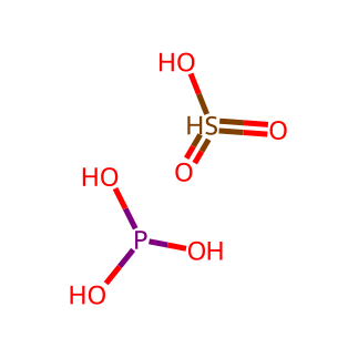 O=[SH](=O)O.OP(O)O